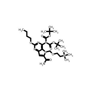 CCCCOc1nc(N(C(=O)OC(C)(C)C)C(=O)OC(C)(C)C)c2c(cc(C(N)=O)n2COCC[Si](C)(C)C)n1